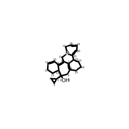 OC1(C2CC2)CC2=C3C(=C4C=CCCC41)CN1CC=CC=C1C3CCC2